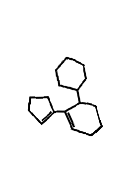 [C]1=C(C2=CCCC2)C(C2CCCCC2)CCC1